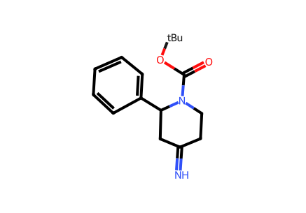 CC(C)(C)OC(=O)N1CCC(=N)CC1c1ccccc1